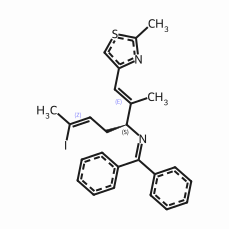 C/C(I)=C/C[C@H](N=C(c1ccccc1)c1ccccc1)/C(C)=C/c1csc(C)n1